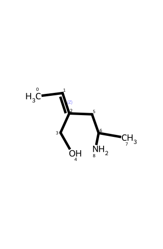 C/C=C(\CO)CC(C)N